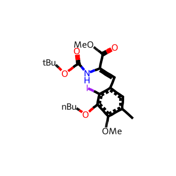 CCCCOc1c(I)c(/C=C(\NC(=O)OC(C)(C)C)C(=O)OC)cc(C)c1OC